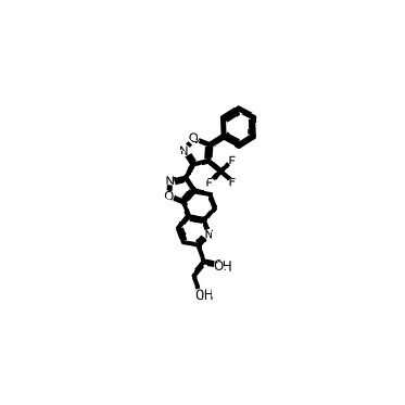 OCC(O)c1ccc2c(n1)CCc1c(-c3noc(-c4ccccc4)c3C(F)(F)F)noc1-2